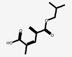 C=C(C=C(C)C(=O)O)C(=O)OCC(C)C